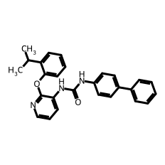 CC(C)c1ccccc1Oc1ncccc1NC(=O)Nc1ccc(-c2ccccc2)cc1